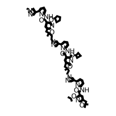 CC(C)Oc1nc2c(cc1C(=O)Nc1cccc(-c3cnn(CCC4(C)Cc5cc(C(=O)Nc6cccc(-c7cnn(CCC8(C)Cc9cc(C(=O)Nc%10cccc(-c%11cnn(C)c%11)n%10)c(OC%10CCCC%10)nc9O8)c7)n6)c(OC6CCC6)nc5O4)c3)n1)CC(C)(C)O2